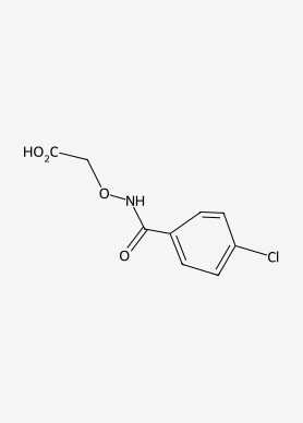 O=C(O)CONC(=O)c1ccc(Cl)cc1